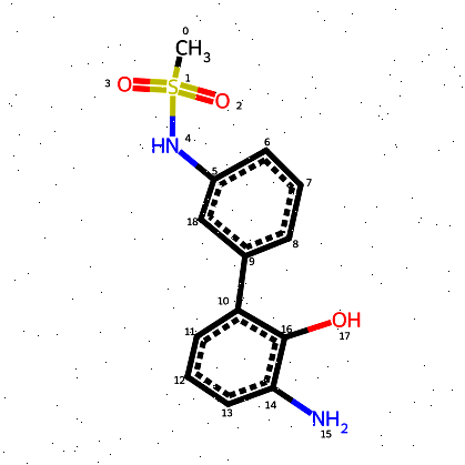 CS(=O)(=O)Nc1cccc(-c2cccc(N)c2O)c1